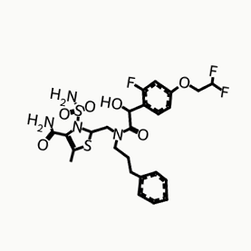 CC1=C(C(N)=O)N(S(N)(=O)=O)C(CN(CCCc2ccccc2)C(=O)C(O)c2ccc(OCC(F)F)cc2F)S1